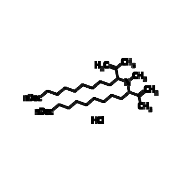 C=C(C)C(CCCCCCCCCCCCCCCCCC)N(C)C(CCCCCCCCCCCCCCCCCC)C(=C)C.Cl